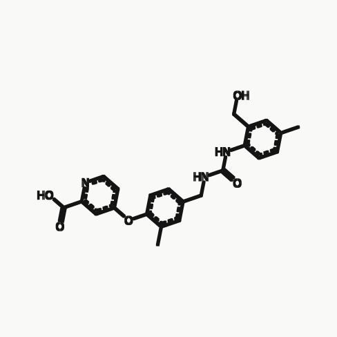 Cc1ccc(NC(=O)NCc2ccc(Oc3ccnc(C(=O)O)c3)c(C)c2)c(CO)c1